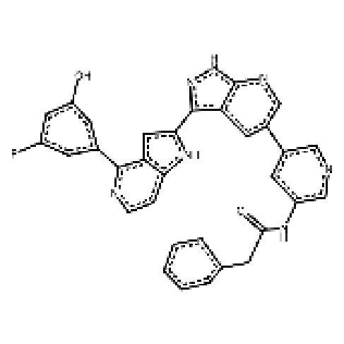 O=C(Cc1ccccc1)Nc1cncc(-c2cnc3[nH]nc(-c4cc5c(-c6cc(O)cc(F)c6)nccc5[nH]4)c3c2)c1